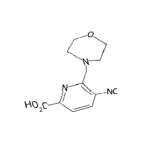 [C-]#[N+]c1ccc(C(=O)O)nc1N1CCOCC1